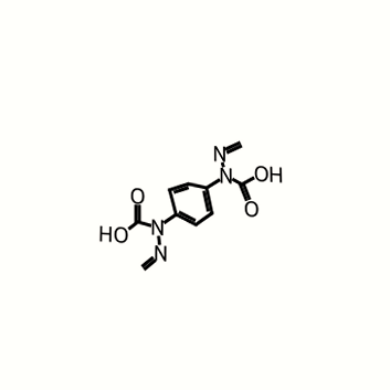 C=NN(C(=O)O)c1ccc(N(N=C)C(=O)O)cc1